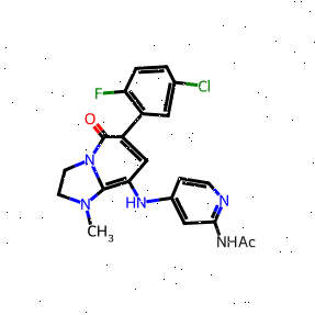 CC(=O)Nc1cc(Nc2cc(-c3cc(Cl)ccc3F)c(=O)n3c2N(C)CC3)ccn1